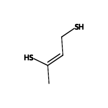 CC(S)=CCS